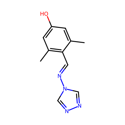 Cc1cc(O)cc(C)c1/C=N/n1cnnc1